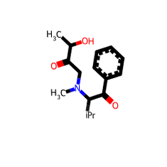 CC(O)C(=O)CN(C)C(C(=O)c1ccccc1)C(C)C